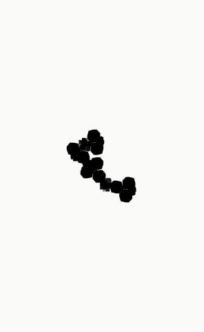 CC1(C)c2ccccc2P(c2ccc(-c3nnc(-c4ccc(P5c6ccccc6C(C)(Cc6ccc7c(c6)C(C)(C)c6ccccc6P7c6nnc(P7c8ccccc8C(C)(C)c8ccccc87)o6)c6ccccc65)cc4)o3)cc2)c2ccccc21